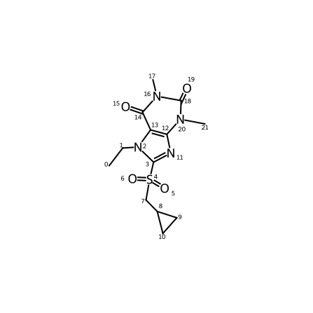 CCn1c(S(=O)(=O)CC2CC2)nc2c1c(=O)n(C)c(=O)n2C